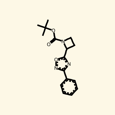 CC(C)(C)OC(=O)N1CCC1c1nc(-c2ccccc2)no1